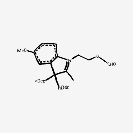 CCCCCCCCCCC1(CCCCCCCCCC)C(C)=[N+](CCOC=O)c2ccc(OC)cc21